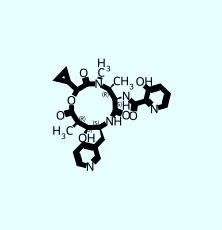 C[C@@H]1[C@H](NC(=O)c2ncccc2O)C(=O)N[C@@H](Cc2cccnc2)[C@@H](O)[C@@H](C)C(=O)OC(C2CC2)C(=O)N1C